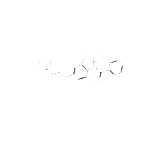 O=C(Nc1c(Cl)cc(CCCC(F)(F)F)cc1Cl)c1ccccc1F